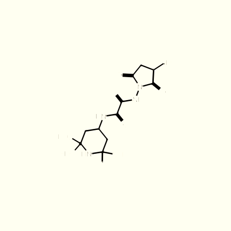 CC(C)C1CC(=O)N(NC(=O)C(=O)NC2CC(C)(C)NC(C)(C)C2)C1=O